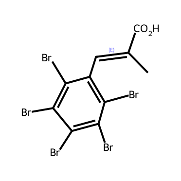 C/C(=C\c1c(Br)c(Br)c(Br)c(Br)c1Br)C(=O)O